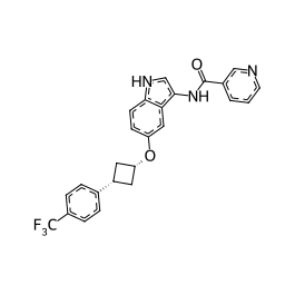 O=C(Nc1c[nH]c2ccc(O[C@H]3C[C@@H](c4ccc(C(F)(F)F)cc4)C3)cc12)c1cccnc1